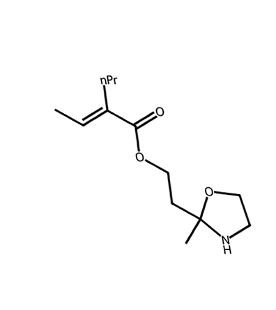 CC=C(CCC)C(=O)OCCC1(C)NCCO1